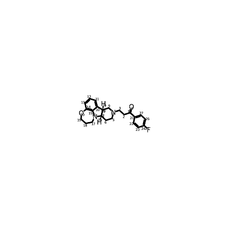 O=C(CCN1CC[C@H]2[C@@H](C1)c1cccc3c1N2CCCO3)c1ccc(F)cc1